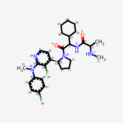 CNC(C)C(=O)NC(C(=O)N1CCC[C@H]1c1ccnc(N(C)c2ccc(F)cc2)c1F)C1CCCCC1